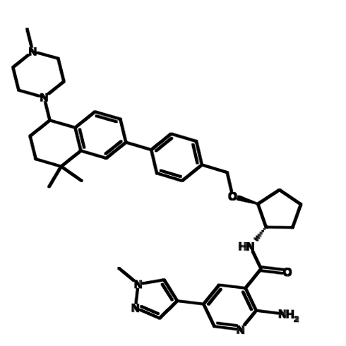 CN1CCN(C2CCC(C)(C)c3cc(-c4ccc(CO[C@H]5CCC[C@@H]5NC(=O)c5cc(-c6cnn(C)c6)cnc5N)cc4)ccc32)CC1